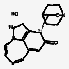 Cl.O=C1C=C2C=NC=CN3NCC(=C23)[C@@H]1C1CN2CCC1CC2